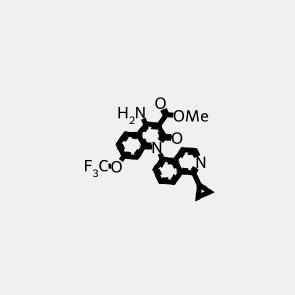 COC(=O)c1c(N)c2ccc(OC(F)(F)F)cc2n(-c2cccc3c(C4CC4)nccc23)c1=O